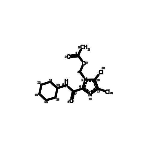 CC(=O)OCn1c(C(=O)NC2CCCCC2)nc(Cl)c1Cl